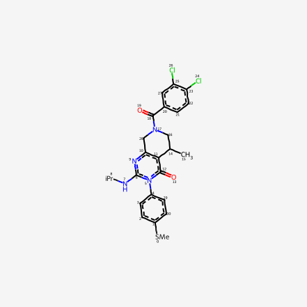 CSc1ccc(-n2c(NC(C)C)nc3c(c2=O)C(C)CN(C(=O)c2ccc(Cl)c(Cl)c2)C3)cc1